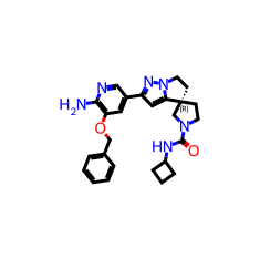 Nc1ncc(-c2cc3n(n2)CC[C@@]32CCN(C(=O)NC3CCC3)C2)cc1OCc1ccccc1